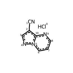 Cl.N#Cc1cnn2cccnc12